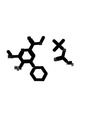 CC(C)(C)OC(N)=O.CNc1nc(C(=O)OC)cc(N2CCCCC2)c1N